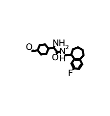 NC(C(=O)NCC1CCCCc2ccc(F)cc21)C1CCC(C=O)CC1